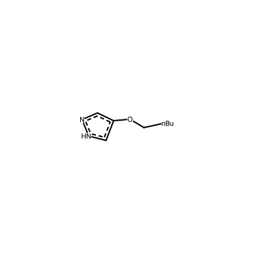 CCCCCOc1cn[nH]c1